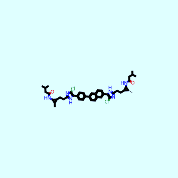 CC(C)CC(=O)NC1C(C)C1CCc1nc(Cl)c(-c2ccc(-c3ccc4cc(-c5[nH]c(CCC6C(NC(=O)CC(C)C)[C@@H]6C)nc5Cl)ccc4c3)cc2)[nH]1